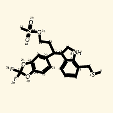 CSCc1cccc2c1NCC2C(CCOS(C)(=O)=O)c1ccc2c(c1)OC(F)(F)O2